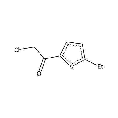 CCc1ccc(C(=O)CCl)s1